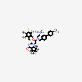 [2H]c1c([2H])c(CSc2nc(=O)c3c(n2CC(=O)N(CCN(CC)CC)Cc2ccc(-c4ccc(C(F)(F)F)cc4)cc2)C([2H])([2H])C([2H])(C)C3([2H])[2H])c([2H])c([2H])c1F